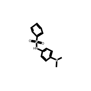 CN(C)c1ccc(NS(=O)(=O)c2ccccc2)cc1